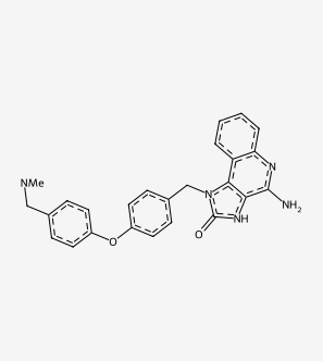 CNCc1ccc(Oc2ccc(Cn3c(=O)[nH]c4c(N)nc5ccccc5c43)cc2)cc1